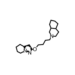 c1c(OCCCCN2CCC3CCCCC3C2)nn2c1CCCC2